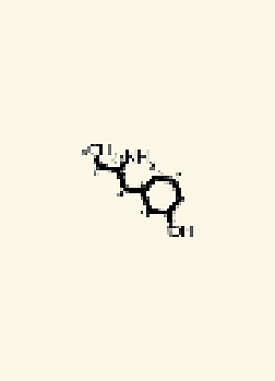 CCC(N)CC1CCCC(O)C1